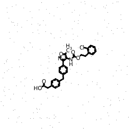 Cc1onc(-c2ccc(Cc3ccc(CC(=O)O)cc3)cc2)c1NC(=O)OCCc1ccccc1Cl